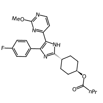 CCCC(=O)O[C@H]1CC[C@H](c2nc(-c3ccc(F)cc3)c(-c3ccnc(OC)n3)[nH]2)CC1